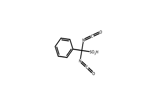 O=C=NC(N=C=O)(c1ccccc1)S(=O)(=O)O